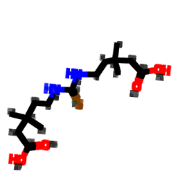 CC(C)(CCNC(=S)NCCC(C)(C)CC(=O)O)CC(=O)O